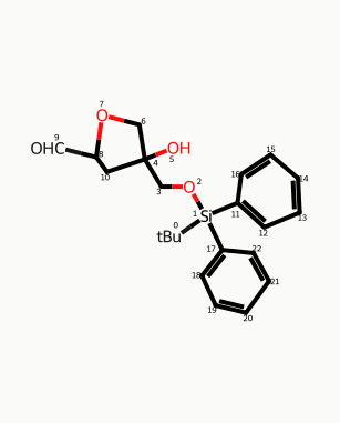 CC(C)(C)[Si](OCC1(O)COC(C=O)C1)(c1ccccc1)c1ccccc1